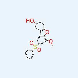 COc1cc(S(=O)(=O)c2ccccc2)cc2c3c(oc12)CCC(O)C3